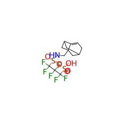 O=S(=O)(O)C(F)(F)C(F)(F)C(F)(F)S(=O)(=O)NCC12CC3CC=C1C(C3)C2